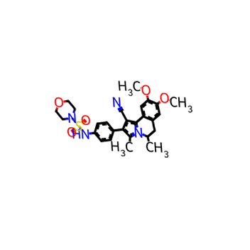 COc1cc2c(cc1OC)-c1c(C#N)c(-c3ccc(NS(=O)(=O)N4CCOCC4)cc3)c(C)n1C(C)C2